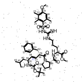 COC(=O)[C@H](CCCNC(=N)NS(=O)(=O)c1c(C)cc(OC)c(C)c1C)NC(=O)[C@@H]1CCCN1C(=O)[C@H](/C=C/[C@H](CC(C)C)NC(=O)OC(C)(C)C)Cc1ccccc1